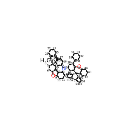 CC(C)(C)c1ccc2oc3cccc(N(c4ccc(-c5ccccc5)cc4)c4cc(-c5ccccc5)c5c(c4)C4(c6ccccc6O5)c5ccccc5-c5ccccc54)c3c2c1